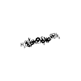 Cc1c(-c2nc3c(o2)CN(C(=O)CN(C)C)C3)cccc1-c1cccc(-c2nc3cc(CN4CC[C@@](C)(C(=O)O)C4)cc(C#N)c3o2)c1C